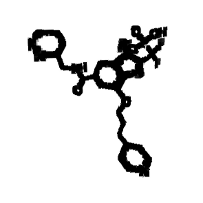 O=C(NCc1cccnn1)c1cc(OCCCc2ccncc2)c2sc(C(F)(F)P(=O)(O)O)c(Br)c2c1